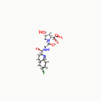 O=C(NCC(=O)N1C[C@H](O)C[C@H]1C(=O)O)c1ccc2cc(F)ccc2n1